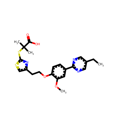 CCc1cnc(-c2ccc(OCCc3csc(SC(C)(C)C(=O)O)n3)c(OC)c2)nc1